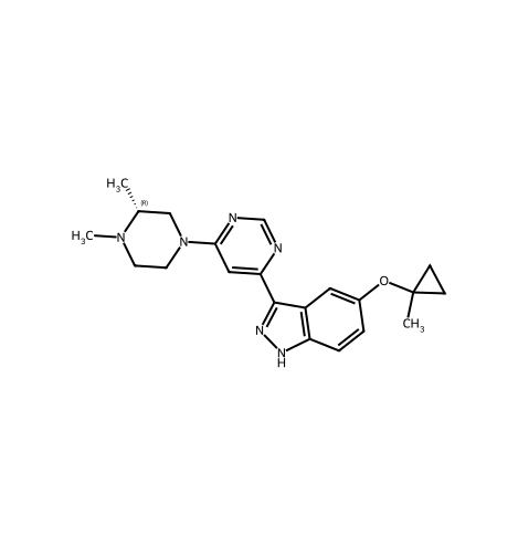 C[C@@H]1CN(c2cc(-c3n[nH]c4ccc(OC5(C)CC5)cc34)ncn2)CCN1C